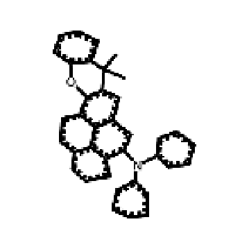 CC1(C)c2ccccc2Oc2c1cc1cc(N(c3ccccc3)c3ccccc3)c3cccc4ccc2c1c43